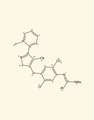 CNC(=Nc1cc(Cl)c(Oc2snc(-c3ccccc3F)c2C#N)cc1C)C(C)C